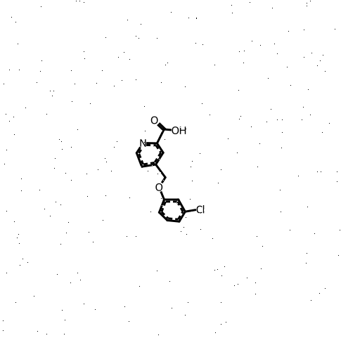 O=C(O)c1cc(COc2cccc(Cl)c2)ccn1